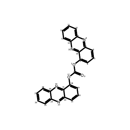 O=C(Oc1cccc2nc3ccccc3nc12)Oc1cccc2nc3ccccc3nc12